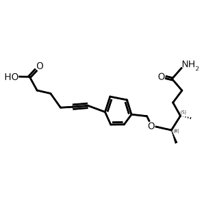 C[C@@H](CCC(N)=O)[C@@H](C)OCc1ccc(C#CCCCC(=O)O)cc1